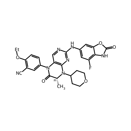 CCOc1ccc(N2C(=O)[C@@H](C)N(C3CCOCC3)c3nc(Nc4cc(F)c5[nH]c(=O)oc5c4)ncc32)cc1C#N